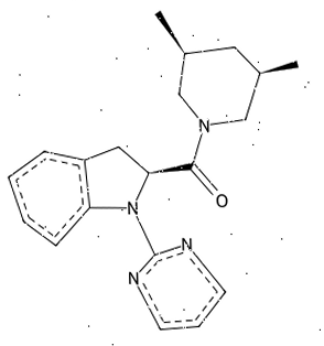 C[C@@H]1C[C@H](C)CN(C(=O)[C@@H]2Cc3ccccc3N2c2ncccn2)C1